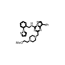 COCCN1CCN(Cc2nc(NCc3ccccc3-n3cccn3)n3ncc(C(C)C)c3n2)CC1